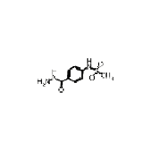 CS(=O)(=O)Nc1ccc(C(=O)NN)cc1